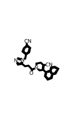 N#CC1=C(c2cccc3ccccc23)CN(C(=O)CCc2cncn2Cc2ccc(C#N)cc2)CC1